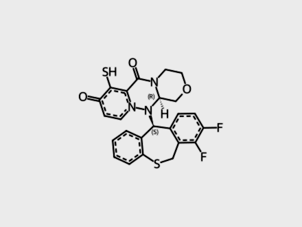 O=C1c2c(S)c(=O)ccn2N([C@@H]2c3ccccc3SCc3c2ccc(F)c3F)[C@@H]2COCCN12